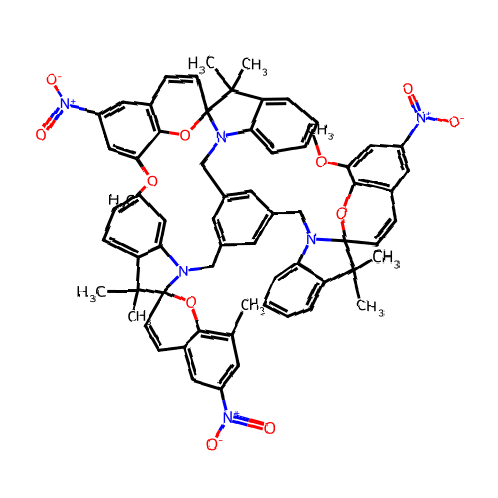 COc1cc([N+](=O)[O-])cc2c1OC1(C=C2)N(Cc2cc(CN3c4ccccc4C(C)(C)C34C=Cc3cc([N+](=O)[O-])cc(C)c3O4)cc(CN3c4ccccc4C(C)(C)C34C=Cc3cc([N+](=O)[O-])cc(OC)c3O4)c2)c2ccccc2C1(C)C